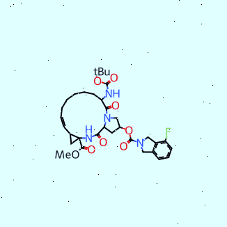 COC(=O)C12CC1C=CCCCCCC(NC(=O)OC(C)(C)C)C(=O)N1CC(OC(=O)N3Cc4cccc(F)c4C3)CC1C(=O)N2